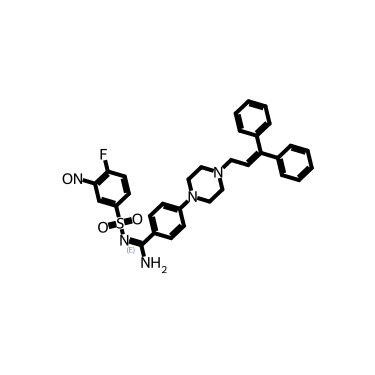 N/C(=N/S(=O)(=O)c1ccc(F)c(N=O)c1)c1ccc(N2CCN(CC=C(c3ccccc3)c3ccccc3)CC2)cc1